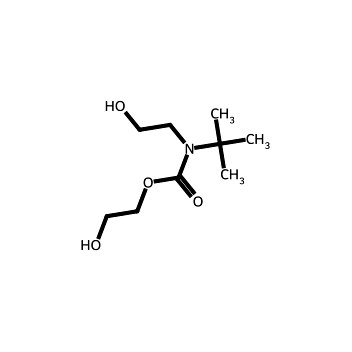 CC(C)(C)N(CCO)C(=O)OCCO